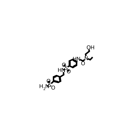 CCN(CCO)C(=O)Nc1ccc(S(=O)(=O)NCc2ccc(S(N)(=O)=O)cc2)cc1